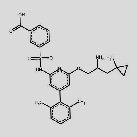 Cc1cccc(C)c1-c1cc(OCC(N)CC2(C)CC2)nc(NS(=O)(=O)c2cccc(C(=O)O)c2)n1